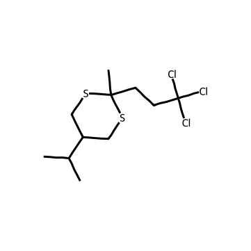 CC(C)C1CSC(C)(CCC(Cl)(Cl)Cl)SC1